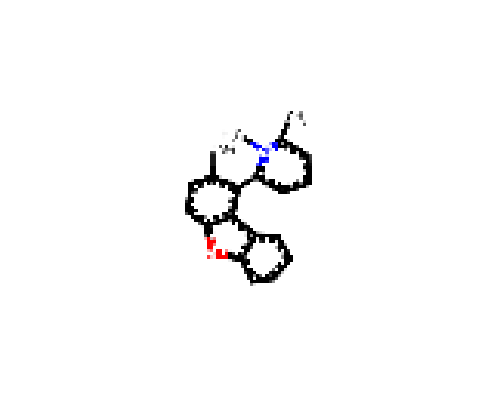 COc1ccc2oc3ccccc3c2c1-c1cccc(C)[n+]1C